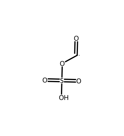 O=[C]OS(=O)(=O)O